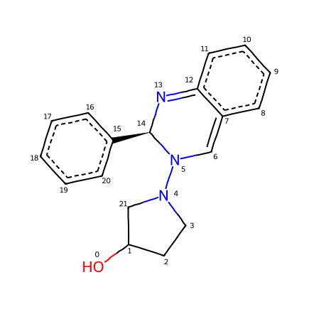 OC1CCN(N2C=c3ccccc3=N[C@@H]2c2ccccc2)C1